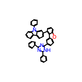 c1ccc(C2=NC(c3ccccc3)NC(c3ccc4oc5cccc(-c6ccc7c8ccccc8n(-c8ccccc8)c7c6)c5c4c3)=N2)cc1